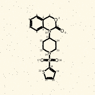 O=C1OCc2ccccc2N1C1CCN(S(=O)(=O)c2cccs2)CC1